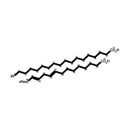 CC(C)CCCCCCCCCCCCCCCCC(=O)O.CCCCCC=CCC=CCCCCCCCC(=O)O